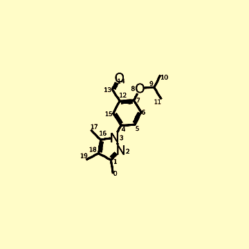 Cc1nn(-c2ccc(OC(C)C)c(C=O)c2)c(C)c1C